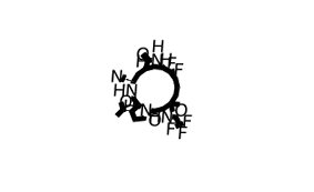 CC(C)[C@H]1CCN2C(=O)[C@@H](NC(=O)C(F)(F)F)C(C)(C)CCCC(F)(F)[C@@H]3C[C@@H](C[C@@H](C#N)NC(=O)[C@H]12)C(=O)N3